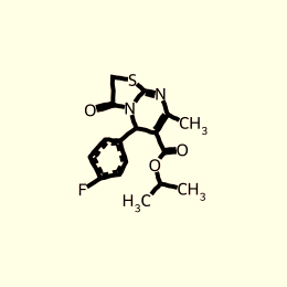 CC1=C(C(=O)OC(C)C)C(c2ccc(F)cc2)N2C(=O)CSC2=N1